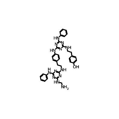 NCNc1nc(NCCc2ccc(Nc3nc(NCCc4ccc(O)cc4)nc(Nc4ccccc4)n3)cc2)nc(Nc2ccccc2)n1